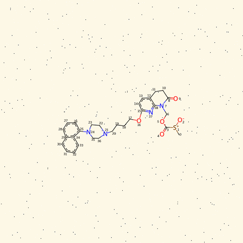 C[S+]([O-])C(=O)OCN1C(=O)CCc2ccc(OCCCCN3CCN(c4cccc5ccccc45)CC3)nc21